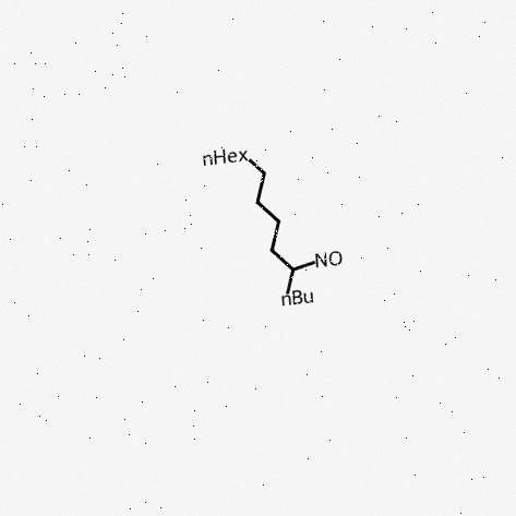 CCCCCCCCCCC(CCCC)N=O